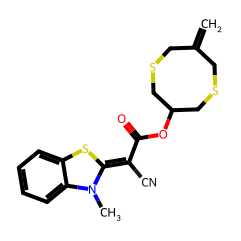 C=C1CSCC(OC(=O)/C(C#N)=C2\Sc3ccccc3N2C)CSC1